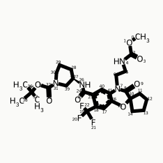 COC(=O)NCCN1C(=O)C2(CCCC2)Oc2cc(C(F)(F)F)c(C(=O)N[C@@H]3CCCN(C(=O)OC(C)(C)C)C3)cc21